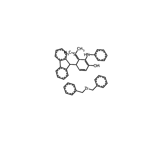 C[Si](C)=C1C(Nc2ccccc2)=C(O)C=CC1C1c2ccccc2-c2ccccc21.c1ccc([CH2][Zr][CH2]c2ccccc2)cc1